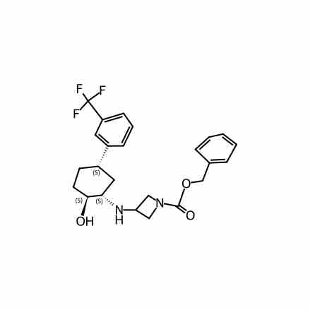 O=C(OCc1ccccc1)N1CC(N[C@H]2C[C@@H](c3cccc(C(F)(F)F)c3)CC[C@@H]2O)C1